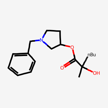 CCCCC(C)(O)C(=O)OC1CCN(Cc2ccccc2)C1